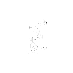 COc1cc2ncc3c(N)nc(-c4cncc(OC[C@H](N)CN5CCC[C@H]5c5nccs5)c4)cc3c2cc1OC